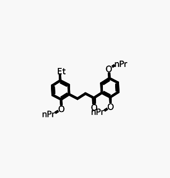 CCCOc1ccc(OCCC)c(C(=O)CCc2cc(CC)ccc2OCCC)c1